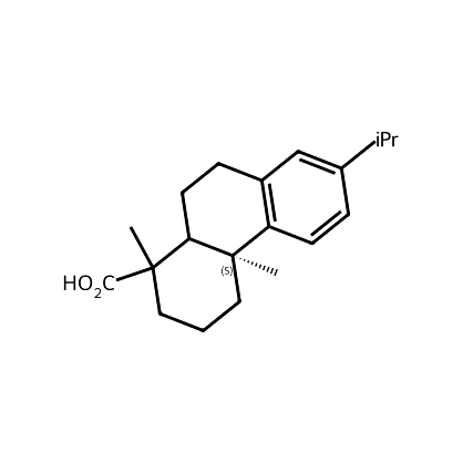 CC(C)c1ccc2c(c1)CCC1C(C)(C(=O)O)CCC[C@]21C